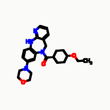 CCO[C@H]1CC[C@@H](C(=O)N2Cc3cccnc3Nc3ccc(N4CCOCC4)cc32)CC1